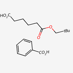 CC(C)(C)COC(=O)CCCCC(=O)O.O=C(O)c1ccccc1